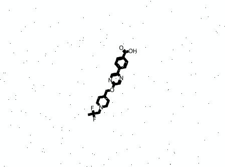 CC(F)(F)CN1CCC(COc2cnc(-c3ccc(C(=O)O)cc3)cn2)CC1